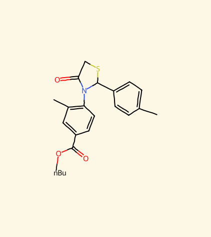 CCCCOC(=O)c1ccc(N2C(=O)CSC2c2ccc(C)cc2)c(C)c1